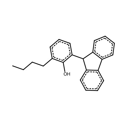 CCCCc1cccc(C2c3ccccc3-c3ccccc32)c1O